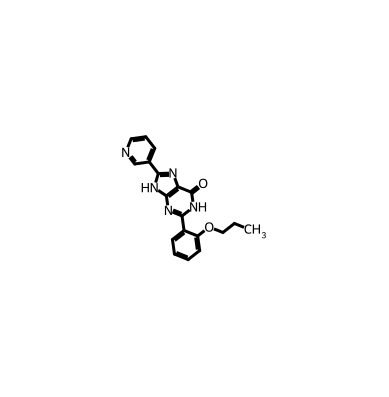 CCCOc1ccccc1-c1nc2[nH]c(-c3cccnc3)nc2c(=O)[nH]1